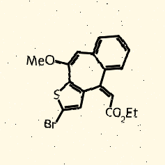 CCOC(=O)/C=C1/c2ccccc2C=C(OC)c2sc(Br)cc21